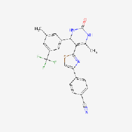 CC1=C(c2nc(-c3ccc(C#N)cc3)cs2)C(c2cc(C)cc(C(F)(F)F)c2)NC(=O)N1